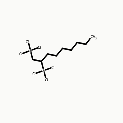 CCCCCCCC(C[Si](Cl)(Cl)Cl)[Si](Cl)(Cl)Cl